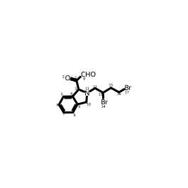 O=CC(=O)C1c2ccccc2CN1CC(Br)CCBr